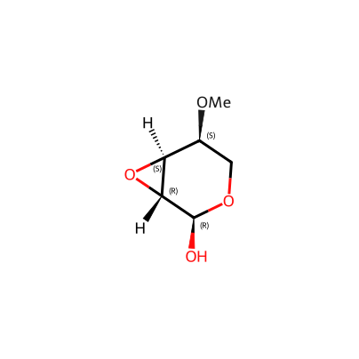 CO[C@H]1CO[C@@H](O)[C@@H]2O[C@H]21